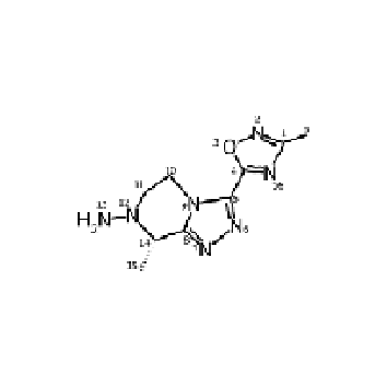 Cc1noc(-c2nnc3n2CCN(N)[C@H]3C)n1